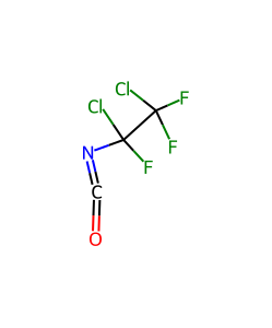 O=C=NC(F)(Cl)C(F)(F)Cl